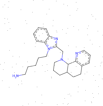 NCCCCCn1c(CN2CCCC3CCc4cccnc4C32)nc2ccccc21